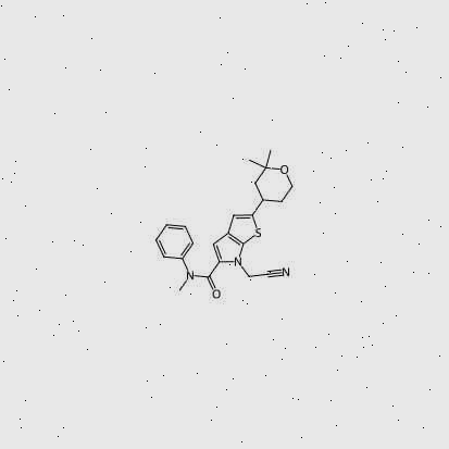 CN(C(=O)c1cc2cc(C3CCOC(C)(C)C3)sc2n1CC#N)c1ccccc1